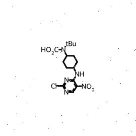 CC(C)(C)N(C(=O)O)C1CCC(Nc2nc(Cl)ncc2[N+](=O)[O-])CC1